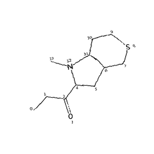 CCC(=O)C1CC2CSCCC2N1C